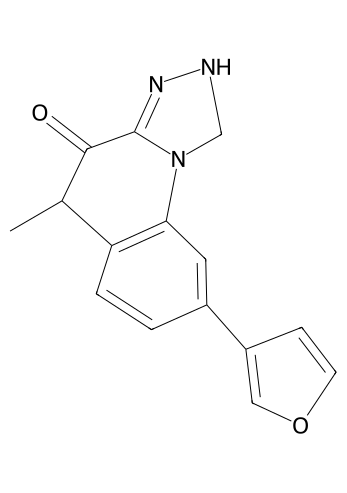 CC1C(=O)C2=NNCN2c2cc(-c3ccoc3)ccc21